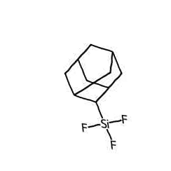 F[Si](F)(F)C1C2CC3CC(C2)CC1C3